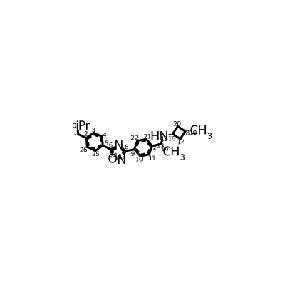 CC(C)Cc1ccc(-c2nc(-c3ccc([C@@H](C)N[C@H]4C[C@@H](C)C4)cc3)no2)cc1